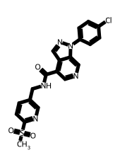 CS(=O)(=O)c1ccc(CNC(=O)c2cncc3c2cnn3-c2ccc(Cl)cc2)cn1